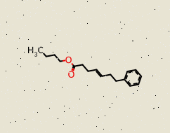 CCCCOC(=O)CCC=CCCc1ccccc1